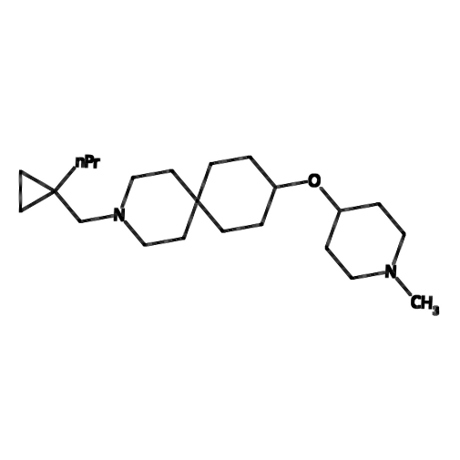 CCCC1(CN2CCC3(CCC(OC4CCN(C)CC4)CC3)CC2)CC1